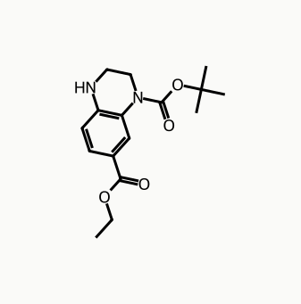 CCOC(=O)c1ccc2c(c1)N(C(=O)OC(C)(C)C)CCN2